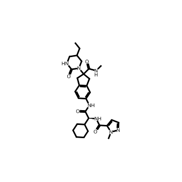 CCC1CNC(=O)N(C2(C(=O)NC)Cc3ccc(NC(=O)[C@@H](NC(=O)c4ccnn4C)C4CCCCC4)cc3C2)C1